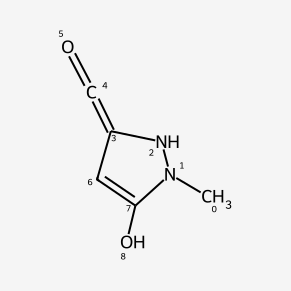 CN1NC(=C=O)C=C1O